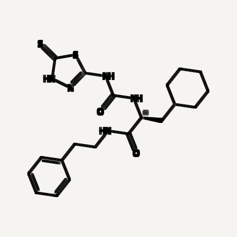 O=C(Nc1n[nH]c(=S)s1)N[C@@H](CC1CCCCC1)C(=O)NCCc1ccccc1